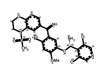 COc1cc(N)c(C(=N)c2cnc3c(c2)N(S(C)(=O)=O)CCO3)cc1O[C@H](N)c1c(Cl)cncc1Cl